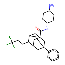 N[C@H]1CC[C@H](NC(=O)C23CC4CC(c5ccccc5)(CC(C2)C4CCC(F)(F)F)C3)CC1